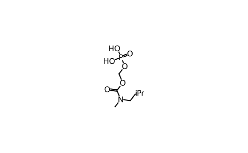 CC(C)CN(C)C(=O)OCOP(=O)(O)O